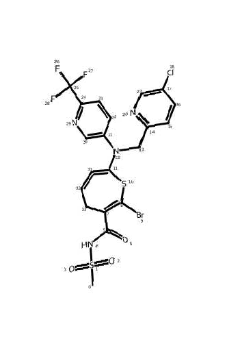 CS(=O)(=O)NC(=O)C1=C(Br)SC(N(Cc2ccc(Cl)cn2)c2ccc(C(F)(F)F)nc2)=C=CC1